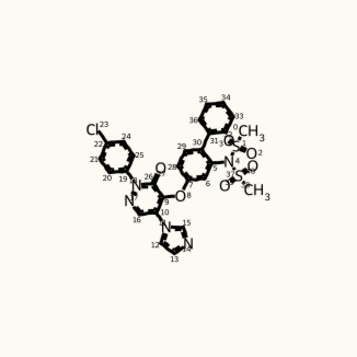 CS(=O)(=O)N(c1cc(Oc2c(-n3ccnc3)cnn(-c3ccc(Cl)cc3)c2=O)ccc1-c1ccccc1)S(C)(=O)=O